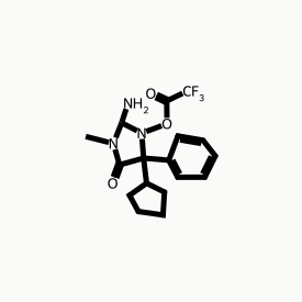 CN1C(=O)C(c2ccccc2)(C2CCCC2)N(OC(=O)C(F)(F)F)C1N